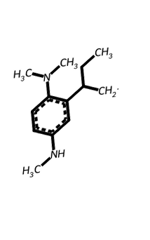 [CH2]C(CC)c1cc(NC)ccc1N(C)C